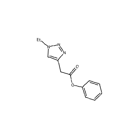 CCn1cc(CC(=O)Oc2ccccc2)nn1